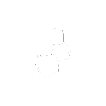 C1=Cc2ccc3c(c2NN=C1)OCN3